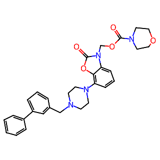 O=C(OCn1c(=O)oc2c(N3CCN(Cc4cccc(-c5ccccc5)c4)CC3)cccc21)N1CCOCC1